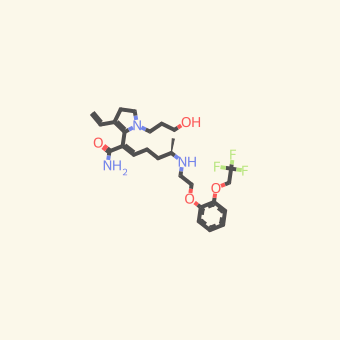 C=CC1=C(/C(=C\CC[C@@H](C)NCCOc2ccccc2OCC(F)(F)F)C(N)=O)N(CCCO)CC1